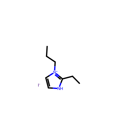 CCC[n+]1cc[nH]c1CC.[I-]